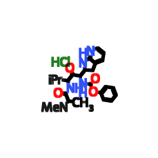 CNC(C)C(=O)NC(C(=O)[C@@H](NC(=O)Oc1ccccc1)C1Cc2cccnc2N1)C(C)C.Cl